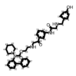 O=C(CNCc1ccc(O)cc1)Nc1cccc(C(=O)CNCCOC(=O)N(c2ccccc2-c2ccccc2)N2CC[CH]CC2)c1